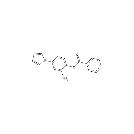 Nc1cc([SH]2C=CC=C2)ccc1OC(=O)c1ccccc1